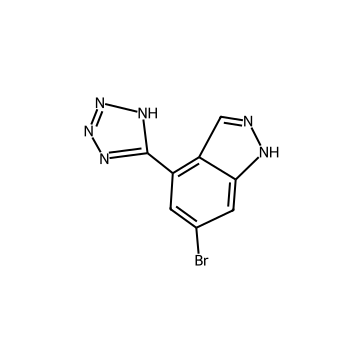 Brc1cc(-c2nnn[nH]2)c2cn[nH]c2c1